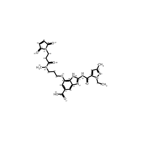 CCn1nc(C)cc1C(=O)Nc1nc2cc(C(=O)O)cc(OCCCN(C)C(=O)CCN3C(=O)C=CC3=O)c2[nH]1